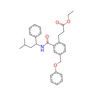 CCOC(=O)CCc1ccc(COc2ccccc2)cc1C(=O)NC(CC(C)C)c1ccccc1